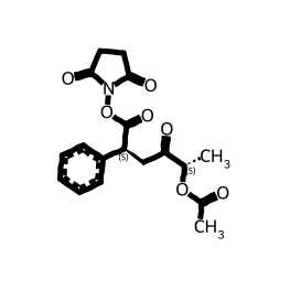 CC(=O)O[C@@H](C)C(=O)C[C@H](C(=O)ON1C(=O)CCC1=O)c1ccccc1